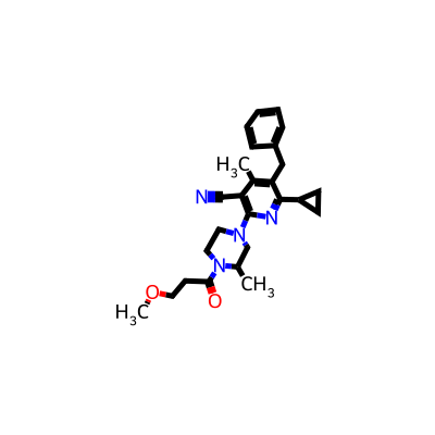 COCCC(=O)N1CCN(c2nc(C3CC3)c(Cc3ccccc3)c(C)c2C#N)CC1C